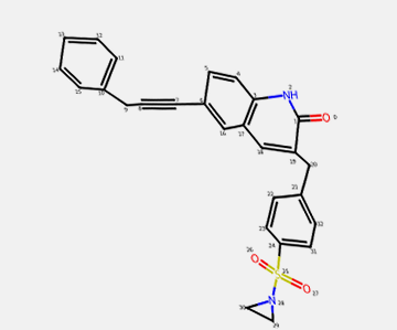 O=c1[nH]c2ccc(C#CCc3ccccc3)cc2cc1Cc1ccc(S(=O)(=O)N2CC2)cc1